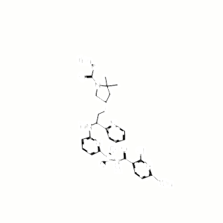 CC(C)(C)OC(=O)N1C[C@@H](CCC(Nc2cccc(S(=O)(=O)NC(=O)c3ccc(C(C)(C)C)nc3Cl)n2)c2ccccn2)CC1(C)C